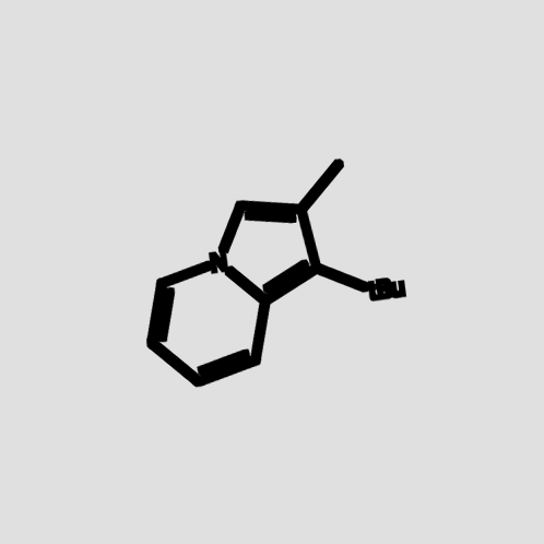 Cc1cn2ccccc2c1C(C)(C)C